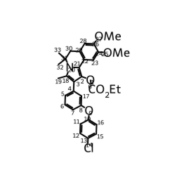 CCOC(=O)Oc1c(-c2cccc(Oc3ccc(Cl)cc3)c2)c(C)n2c1-c1cc(OC)c(OC)cc1CC2(C)C